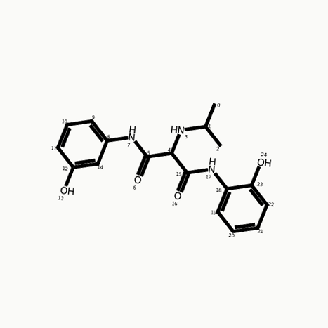 CC(C)NC(C(=O)Nc1cccc(O)c1)C(=O)Nc1ccccc1O